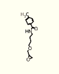 Cc1ccc(C(=O)NCCCCOCC2CO2)cc1